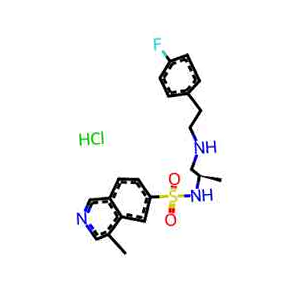 Cc1cncc2ccc(S(=O)(=O)N[C@H](C)CNCCc3ccc(F)cc3)cc12.Cl